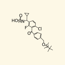 CC(C)(C)[Si](C)(C)OCc1ccc(C(=O)c2c(Cl)ccc(C(NC(=O)O)C3CC3)c2F)cc1